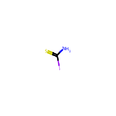 NC(=S)I